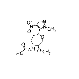 CO[C@@H]1CO[C@H](c2c([N+](=O)[O-])cnn2C)CC[C@H]1NC(=O)O